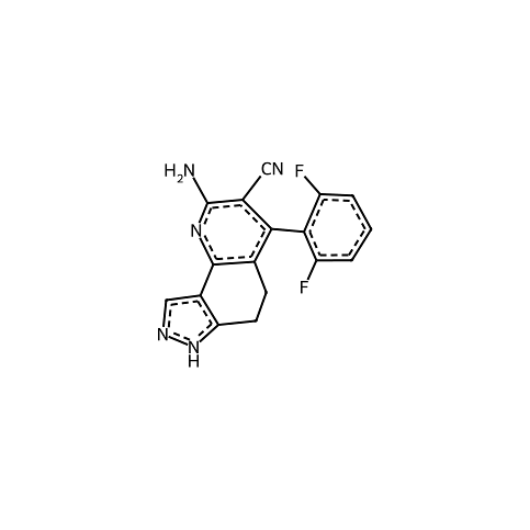 N#Cc1c(N)nc2c(c1-c1c(F)cccc1F)CCc1[nH]ncc1-2